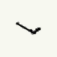 COC(=O)CCCCCOCCOCCOCCCCCCOc1cccc([C@H](C)NC(=O)c2cccc(NCc3nnc(-c4ccncn4)n3C)c2)c1